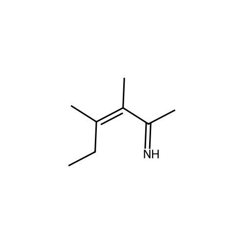 CC/C(C)=C(/C)C(C)=N